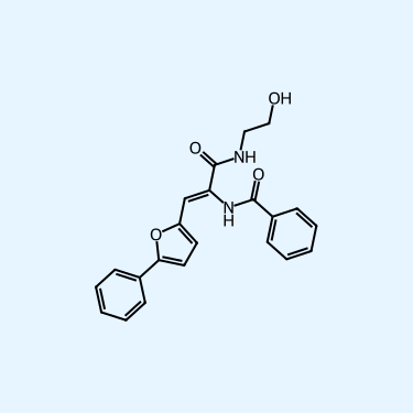 O=C(NCCO)C(=Cc1ccc(-c2ccccc2)o1)NC(=O)c1ccccc1